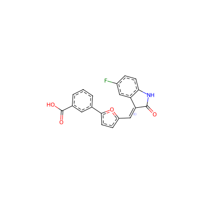 O=C1Nc2ccc(F)cc2/C1=C\c1ccc(-c2cccc(C(=O)O)c2)o1